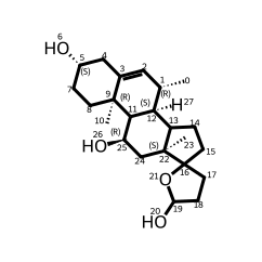 C[C@H]1C=C2C[C@@H](O)CC[C@]2(C)C2[C@@H]1C1CCC3(CCC(O)O3)[C@@]1(C)C[C@H]2O